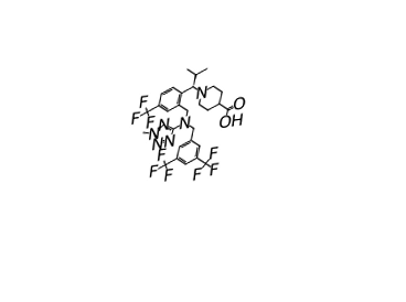 CC(C)[C@H](c1ccc(C(F)(F)F)cc1CN(Cc1cc(C(F)(F)F)cc(C(F)(F)F)c1)c1nnn(C)n1)N1CCC(C(=O)O)CC1